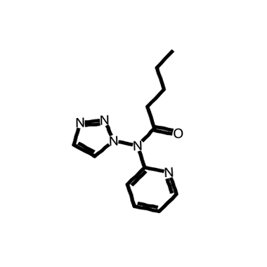 CCCCC(=O)N(c1ccccn1)n1ccnn1